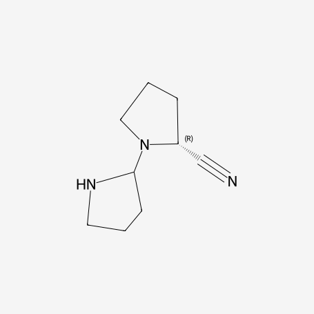 N#C[C@H]1CCCN1C1CCCN1